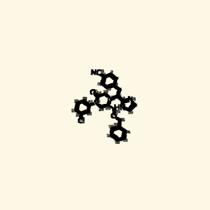 N#Cc1ccc(CC(c2ncc[nH]2)N2CC(=O)N(c3cccc(Cl)c3)C[C@@H]2COCc2ccccc2)cc1